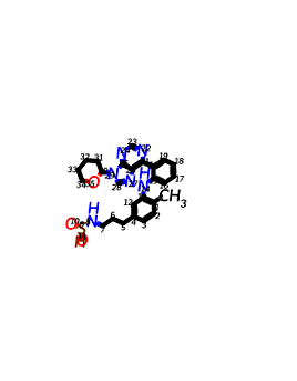 Cc1ccc(CCCN[SH](=O)=O)cc1Nc1ccccc1-c1ncnc2c1ncn2C1CCCCO1